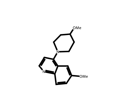 COc1ccc2nc[c]c(N3CCC(OC)CC3)c2c1